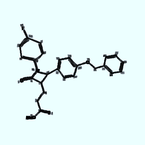 COC(=O)CCC1C(=O)N(c2ccc(F)cc2)C1c1ccc(OCc2ccccc2)cc1